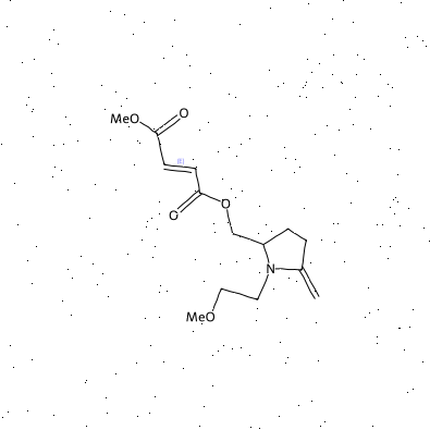 C=C1CCC(COC(=O)/C=C/C(=O)OC)N1CCOC